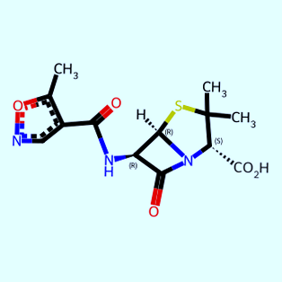 Cc1oncc1C(=O)N[C@@H]1C(=O)N2[C@@H]1SC(C)(C)[C@@H]2C(=O)O